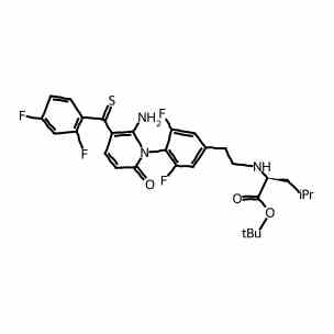 CC(C)C[C@H](NCCc1cc(F)c(-n2c(N)c(C(=S)c3ccc(F)cc3F)ccc2=O)c(F)c1)C(=O)OC(C)(C)C